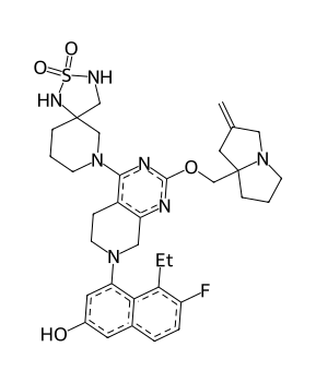 C=C1CN2CCCC2(COc2nc3c(c(N4CCCC5(CNS(=O)(=O)N5)C4)n2)CCN(c2cc(O)cc4ccc(F)c(CC)c24)C3)C1